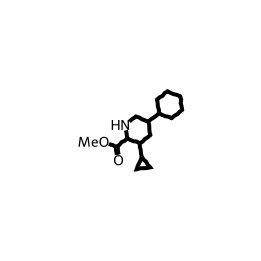 COC(=O)C1NCC(C2CCCCC2)CC1C1CC1